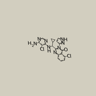 Nc1ncnc(NC(c2nc3cccc(Cl)c3c(=O)n2-c2cc[nH]n2)C2CC2)c1Cl